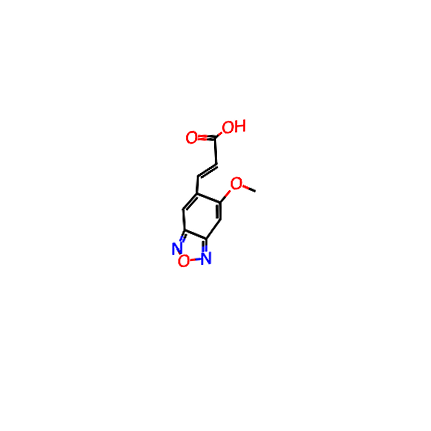 COc1cc2nonc2cc1C=CC(=O)O